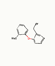 COc1ccccc1Oc1ccccc1CC(C)C